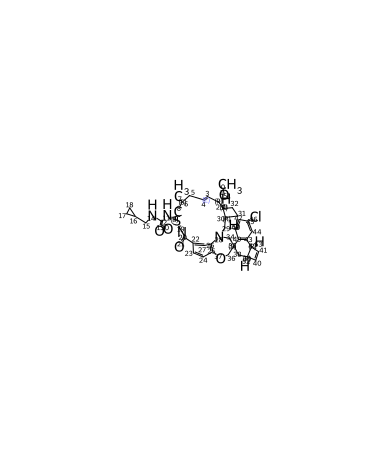 CO[C@H]1/C=C/C[C@H](C)C[S@@](=O)(NC(=O)NCC2CC2)=NC(=O)c2ccc3c(c2)N(C[C@@H]2CC[C@H]21)C[C@]1(CO3)C[C@@H]2C=C[C@@H]2c2cc(Cl)ccc21